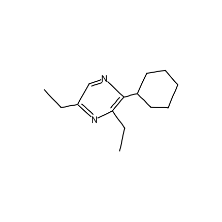 CCc1cnc(C2CCCCC2)c(CC)n1